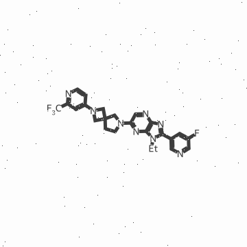 CCn1c(-c2cncc(F)c2)nc2ncc(N3CCC4(CN(c5ccnc(C(F)(F)F)c5)C4)C3)nc21